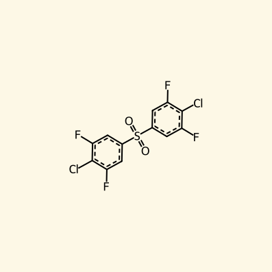 O=S(=O)(c1cc(F)c(Cl)c(F)c1)c1cc(F)c(Cl)c(F)c1